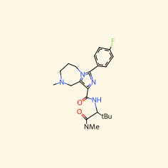 CNC(=O)C(NC(=O)c1nc(-c2ccc(F)cc2)n2c1CN(C)CCC2)C(C)(C)C